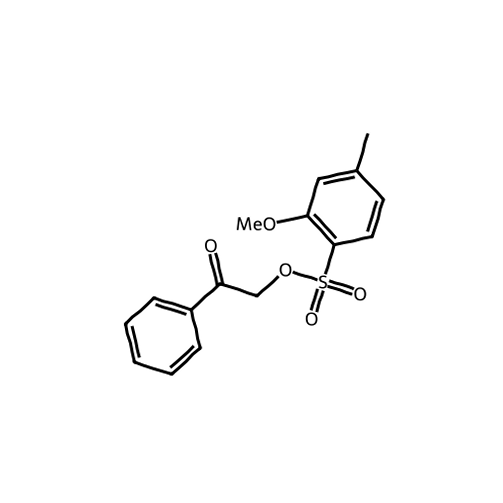 COc1cc(C)ccc1S(=O)(=O)OCC(=O)c1ccccc1